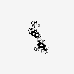 CCOC(=O)[C@H]1[C@@H]2Cc3cc(OCc4cc(Br)c(C(F)(F)F)cc4F)ncc3[C@@H]21